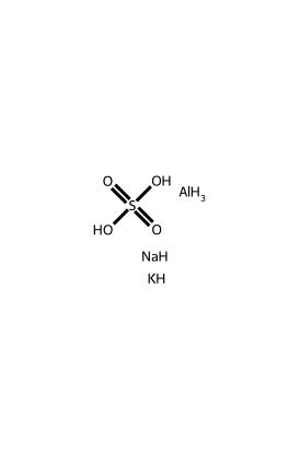 O=S(=O)(O)O.[AlH3].[KH].[NaH]